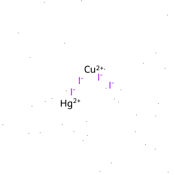 [Cu+2].[Hg+2].[I-].[I-].[I-].[I-]